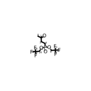 CC(=O)CCP(=O)(OCC(F)(F)F)OCC(F)(F)F